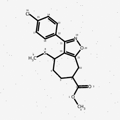 COC(=O)C1CCC(SC)c2c(-c3ccc(Cl)cc3)noc2C1